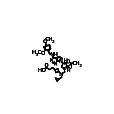 C=C1O[C@@H]2[C@@H](CN(CC3CC3)C3CC(CCC(=O)O)C3)C[C@@H](n3ccc4c(NCc5ccc(OC)cc5OC)ncnc43)[C@@H]2O1